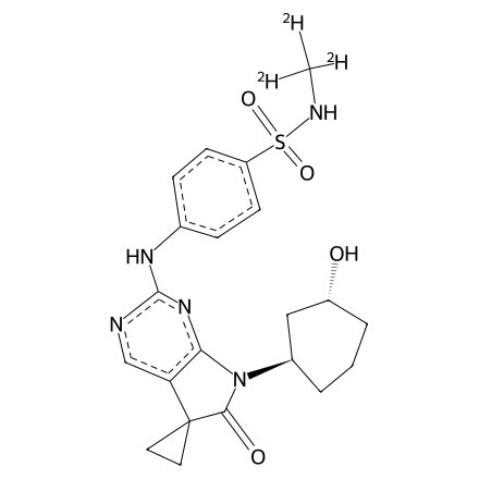 [2H]C([2H])([2H])NS(=O)(=O)c1ccc(Nc2ncc3c(n2)N([C@@H]2CCC[C@@H](O)C2)C(=O)C32CC2)cc1